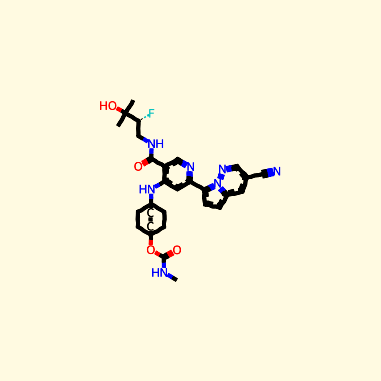 CNC(=O)OC12CCC(Nc3cc(-c4ccc5cc(C#N)cnn45)ncc3C(=O)NC[C@@H](F)C(C)(C)O)(CC1)CC2